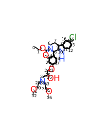 CCOC(=O)N1CCc2c([nH]c3ccc(Cl)cc23)C1c1ccc(OCC(O)CN(CCOC)CCOC)cc1